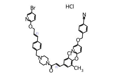 Cc1cc(/C=C/C(=O)N2CCN(Cc3ccc(/C=C/COc4ccc(Br)cn4)cc3)CC2)cc(Cl)c1Oc1ccc(OCc2ccc(C#N)cc2)cn1.Cl